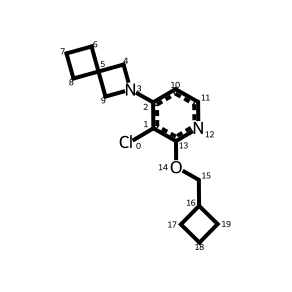 Clc1c(N2CC3(CCC3)C2)ccnc1OCC1CCC1